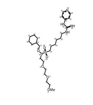 COCCOCCOCCN(OCC1CCCCC1)S(=O)(=O)CCCCCCNC(=N)Nc1ccncc1